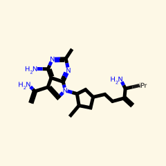 C=C(N)c1cn(C2CC(CCC(=C)C(N)C(C)C)CC2C)c2nc(C)nc(N)c12